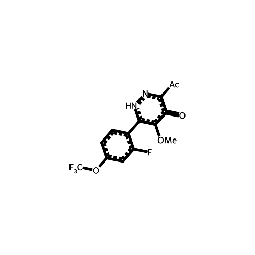 COc1c(-c2ccc(OC(F)(F)F)cc2F)[nH]nc(C(C)=O)c1=O